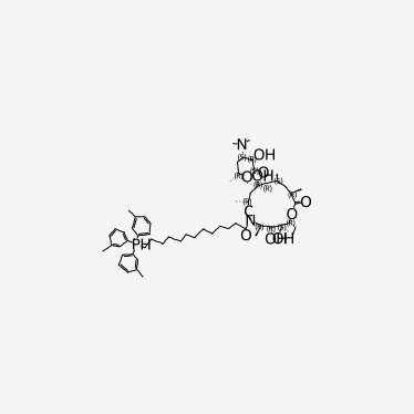 CC[C@H]1OC(=O)[C@H](C)C[C@H](C)[C@@H](O[C@@H]2O[C@H](C)C[C@H](N(C)C)[C@H]2O)[C@](C)(O)C[C@@H](C)CN(C(=O)CCCCCCCCCCCC[PH](c2cccc(C)c2)(c2cccc(C)c2)c2cccc(C)c2)[C@H](C)[C@@H](O)[C@]1(C)O